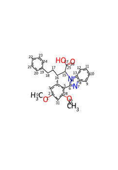 COc1ccc(-c2nc3ccccc3n2C(CCCc2ccccc2)C(=O)O)c(OC)c1